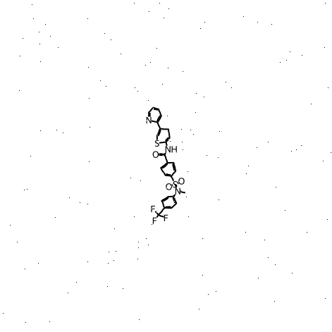 CN(c1ccc(C(F)(F)F)cc1)S(=O)(=O)c1ccc(C(=O)NC2=CCC(c3ccccn3)=CS2)cc1